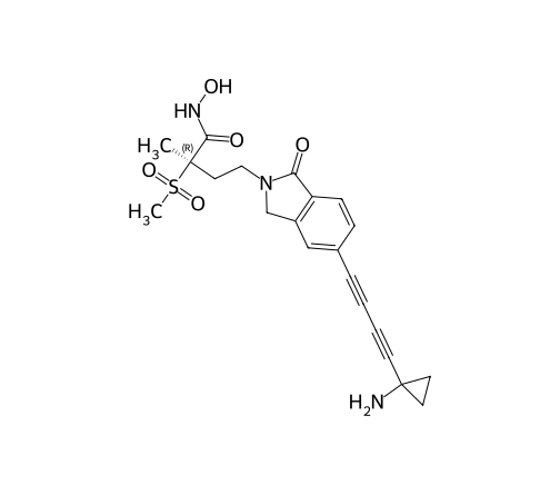 C[C@@](CCN1Cc2cc(C#CC#CC3(N)CC3)ccc2C1=O)(C(=O)NO)S(C)(=O)=O